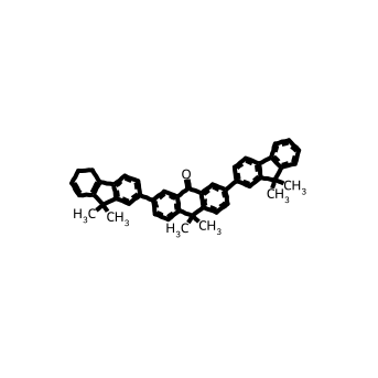 CC1(C)C2=C(CCC=C2)c2ccc(-c3ccc4c(c3)C(=O)c3cc(-c5ccc6c(c5)C(C)(C)c5ccccc5-6)ccc3C4(C)C)cc21